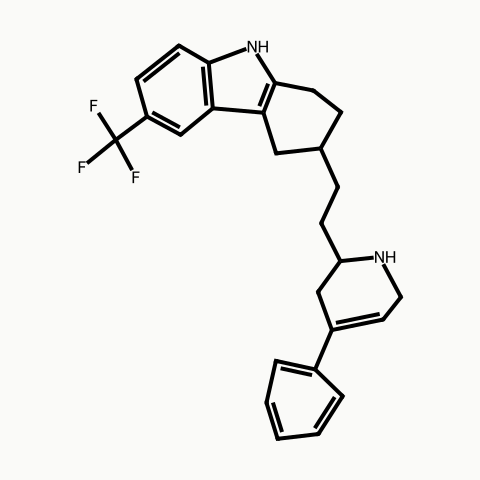 FC(F)(F)c1ccc2[nH]c3c(c2c1)CC(CCC1CC(c2ccccc2)=CCN1)CC3